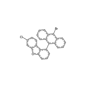 Clc1ccc2c(c1)oc1cccc(-c3c4ccccc4c(Br)c4ccccc34)c12